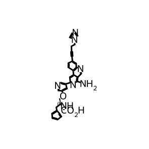 Nc1nc(-c2cncc(OC[C@H](Cc3ccccc3)NC(=O)O)c2)cc2c1cnc1cc(C#CCCn3ccnc3)ccc12